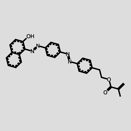 C=C(C)C(=O)OCCc1ccc(N=Nc2ccc(N=Nc3c(O)ccc4ccccc34)cc2)cc1